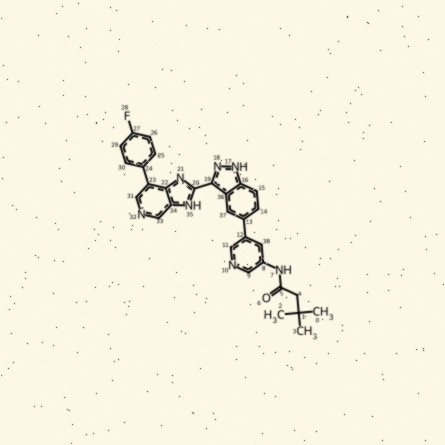 CC(C)(C)CC(=O)Nc1cncc(-c2ccc3[nH]nc(-c4nc5c(-c6ccc(F)cc6)cncc5[nH]4)c3c2)c1